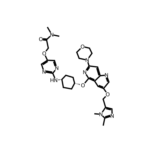 Cc1ncc(COc2cnc3cc(N4CCOCC4)nc(O[C@H]4CC[C@@H](Nc5ncc(OCC(=O)N(C)C)cn5)CC4)c3c2)n1C